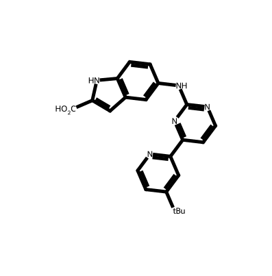 CC(C)(C)c1ccnc(-c2ccnc(Nc3ccc4[nH]c(C(=O)O)cc4c3)n2)c1